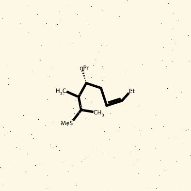 CC/C=C\C[C@@H](CCC)C(C)C(C)SC